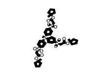 CC1(OC(=O)CS(=O)(=O)c2ccc(S(C)(c3ccc(S(=O)(=O)CC(=O)OC4(C)CCCC4)cc3)c3ccc(S(=O)(=O)CC(=O)OC4(C)CCCC4)cc3)cc2)CCCC1